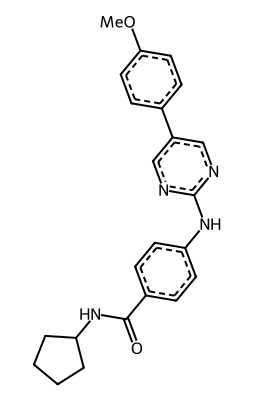 COc1ccc(-c2cnc(Nc3ccc(C(=O)NC4CCCC4)cc3)nc2)cc1